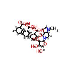 Cn1ccc2c(=O)n([C@@H]3O[C@H](CO)[C@@H](O)[C@H]3O)ccc21.O=C(O)c1ccccc1.O=C(O)c1ccccc1.O=C(O)c1ccccc1